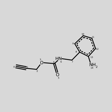 C#CCOC(=O)NCc1ccccc1N